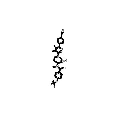 Cc1c(-c2ccc(C#N)cc2)nnc(N2CCC(N(C)C(=O)c3ccc(OC(F)(F)F)cc3)CC2)c1C.Cl